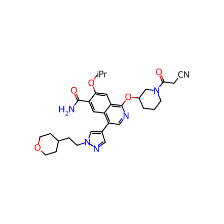 CC(C)Oc1cc2c(OC3CCCN(C(=O)CC#N)C3)ncc(-c3cnn(CCC4CCOCC4)c3)c2cc1C(N)=O